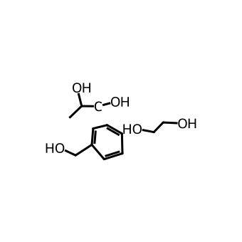 CC(O)CO.OCCO.OCc1ccccc1